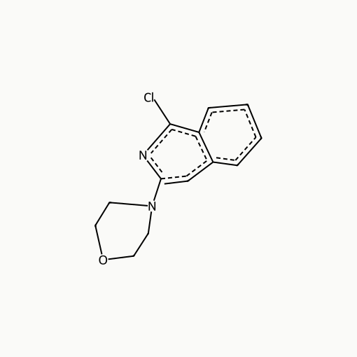 Clc1nc(N2CCOCC2)cc2ccccc12